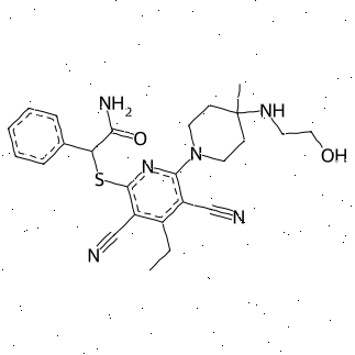 CCc1c(C#N)c(SC(C(N)=O)c2ccccc2)nc(N2CCC(C)(NCCO)CC2)c1C#N